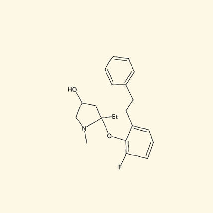 CCC1(Oc2c(F)cccc2CCc2ccccc2)CC(O)CN1C